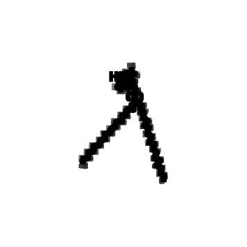 CCCCCCCCCCCCCCCCCCSCC(CSCCCCCCCCCCCCCCCCCC)OC(=O)Cc1cc(C(C)(C)C)c(O)c(C(C)(C)C)c1